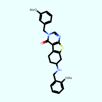 COc1cccc(Cn2cnc3sc4c(c3c2=O)CCC(NCc2ccccc2OC)C4)c1